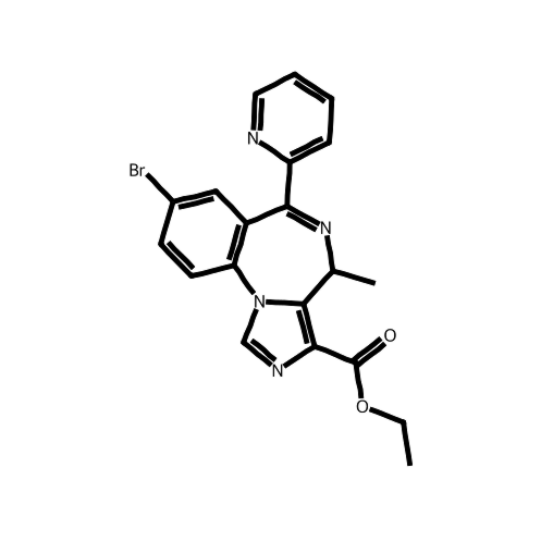 CCOC(=O)c1ncn2c1C(C)N=C(c1ccccn1)c1cc(Br)ccc1-2